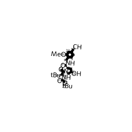 C#Cc1ccc(CNC(=O)[C@@H]2C[C@@H](O)CN2C(=O)[C@@H](NC(=O)OC(C)(C)C)C(C)(C)C)c(OC)c1